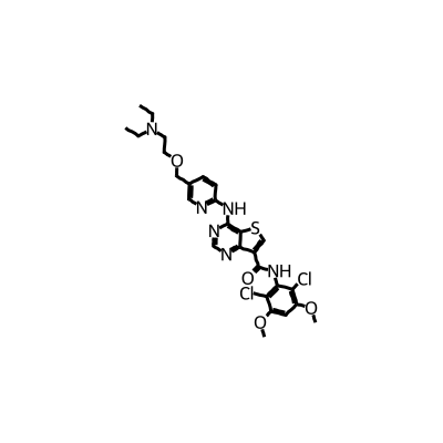 CCN(CC)CCOCc1ccc(Nc2ncnc3c(C(=O)Nc4c(Cl)c(OC)cc(OC)c4Cl)csc23)nc1